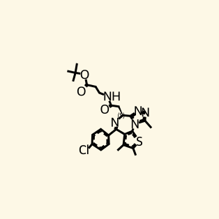 Cc1sc2c(c1C)C(c1ccc(Cl)cc1)=N[C@@H](CC(=O)NCCC(=O)OC(C)(C)C)c1nnc(C)n1-2